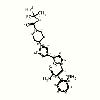 CC(C)(C)OC(=O)N1CCC(n2cc(-c3ccc(C=C(C(N)=O)c4ccccc4N)o3)cn2)CC1